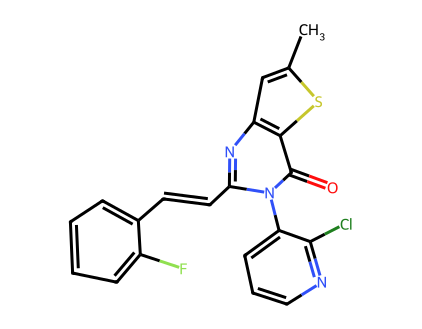 Cc1cc2nc(C=Cc3ccccc3F)n(-c3cccnc3Cl)c(=O)c2s1